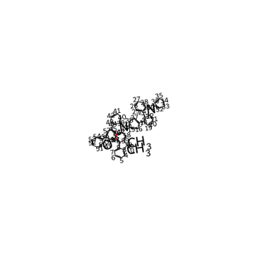 CC1(C)c2ccccc2-c2ccc(N(c3ccc(-c4cccc5c4c4ccccc4n5-c4ccccc4)cc3)c3ccccc3-c3ccc4oc5ccccc5c4c3)cc21